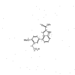 COc1ccc(-c2cccc3[nH]c(C(=O)C(C)C)cc23)cc1CC(=O)O